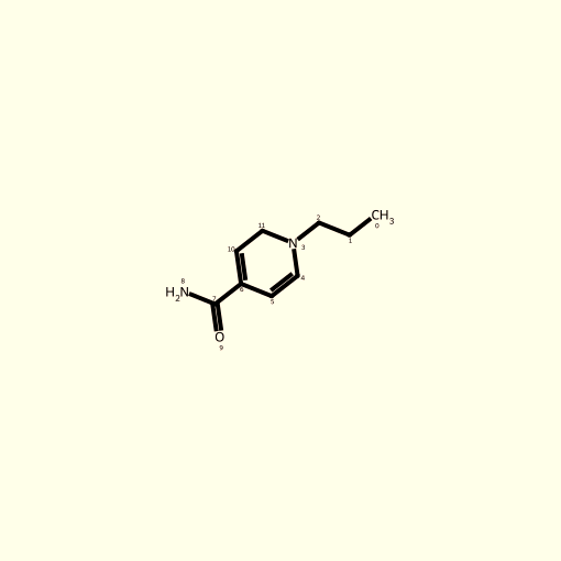 CCCN1C=CC(C(N)=O)=CC1